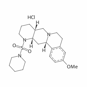 COc1ccc2c(c1)CCN1C[C@H]3CCCN(S(=O)(=O)N4CCCCC4)[C@H]3C[C@@H]21.Cl